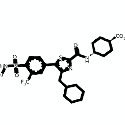 CC(C)(C)NS(=O)(=O)c1ccc(-c2sc(C(=O)N[C@H]3CC[C@H](C(=O)O)CC3)nc2CC2CCCCC2)cc1C(F)(F)F